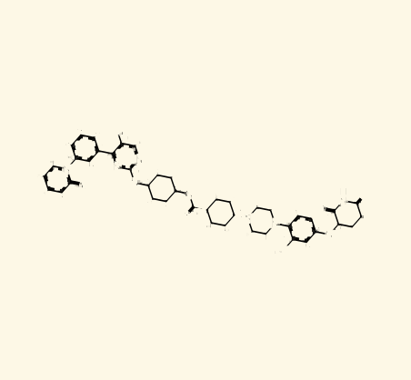 O=C1CCC(Nc2ccc(N3CCN([C@H]4CC[C@H](C(=O)NC5CCC(Nc6ncc(Cl)c(-c7cccc(-n8ccccc8=O)c7)n6)CC5)CC4)CC3)c(F)c2)C(=O)N1